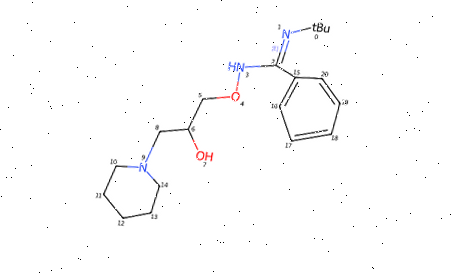 CC(C)(C)/N=C(/NOCC(O)CN1CCCCC1)c1ccccc1